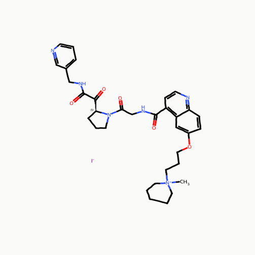 C[N+]1(CCCOc2ccc3nccc(C(=O)NCC(=O)N4CCC[C@H]4C(=O)C(=O)NCc4cccnc4)c3c2)CCCCC1.[I-]